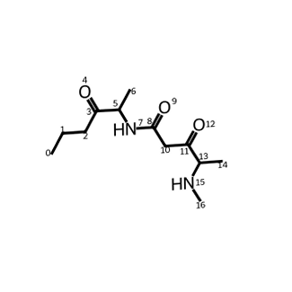 CCCC(=O)C(C)NC(=O)CC(=O)C(C)NC